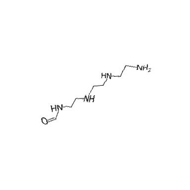 NCCNCCNCCNC=O